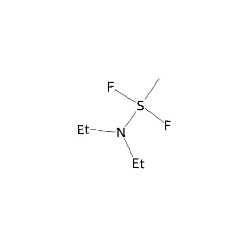 CCN(CC)S(C)(F)F